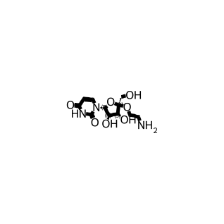 NCCO[C@]1(CO)O[C@@H](n2ccc(=O)[nH]c2=O)[C@H](O)[C@@H]1O